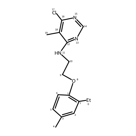 CCc1cc(C)ccc1OCCNc1ncnc(Cl)c1C